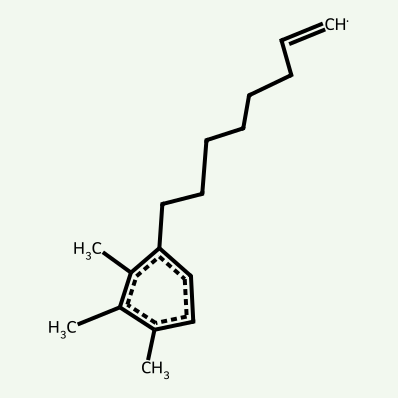 [CH]=CCCCCCCc1ccc(C)c(C)c1C